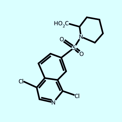 O=C(O)C1CCCCN1S(=O)(=O)c1ccc2c(Cl)cnc(Cl)c2c1